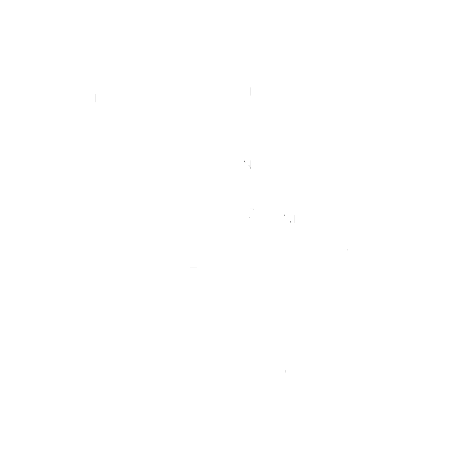 Cc1cc(C)c([NH][Zn]([Cl])[NH]c2c(C)cc(C)cc2C)c(C)c1